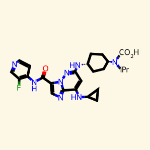 CC(C)N(C(=O)O)[C@H]1CC[C@H](Nc2cc(NC3CC3)c3ncc(C(=O)Nc4ccncc4F)n3n2)CC1